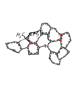 CC1(C)c2ccccc2-c2ccc(N(c3cccc4ccc5ccccc5c34)c3cccc4ccc5ccccc5c34)cc21